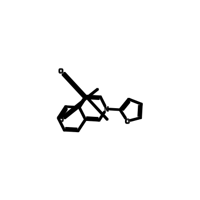 O=C1CC(=O)C23C=CC=CC2=CN(c2ccco2)C=C3C1